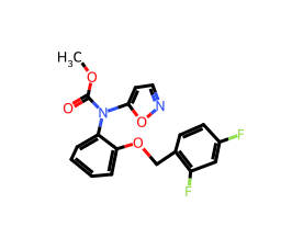 COC(=O)N(c1ccno1)c1ccccc1OCc1ccc(F)cc1F